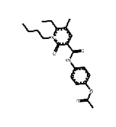 CCCCn1c(CC)c(C)cc(C(=O)Nc2ccc(OC(C)=O)cc2)c1=O